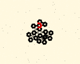 c1ccc(-c2ccccc2N2c3ccc([Si](c4ccccc4)(c4ccccc4)c4ccccc4)cc3B3c4ccc([Si](c5ccccc5)(c5ccccc5)c5ccccc5)cc4N(c4cccc([Si](c5ccccc5)(c5ccccc5)c5ccccc5)c4)c4cc(-n5c6ccccc6c6ccccc65)cc2c43)cc1